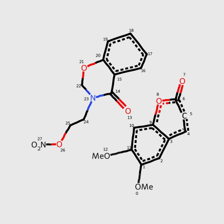 COc1cc2ccc(=O)oc2cc1OC.O=C1c2ccccc2OCN1CCO[N+](=O)[O-]